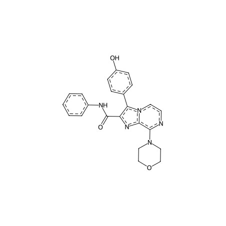 O=C(Nc1ccccc1)c1nc2c(N3CCOCC3)nccn2c1-c1ccc(O)cc1